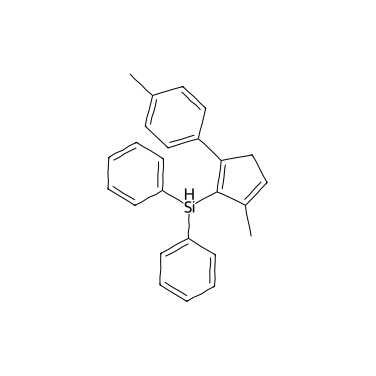 CC1=CCC(c2ccc(C)cc2)=C1[SiH](c1ccccc1)c1ccccc1